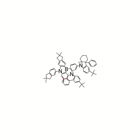 Cc1cc2c3c(c1)N(c1ccc(C(C)(C)C)cc1-c1ccccc1)c1cc(N4c5ccc(C(C)(C)C)cc5C5(c6ccccc6)CCCCC45C)ccc1B3c1cc3c(cc1N2c1ccc2c(c1)CC(C)(C)C2)CC(C)(C)C3